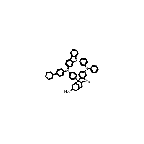 CC1CC2CC(C)C(c3ccc(N(c4ccccc4)c4ccccc4)cc3)(c3ccc(N(c4ccc(C5CCCCC5)cc4)c4ccc5c(c4)sc4ccccc45)cc3)C(C1)C2